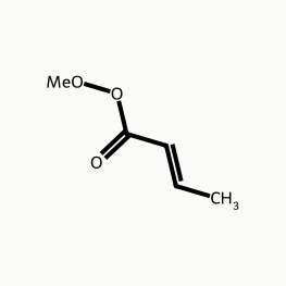 C/C=C/C(=O)OOC